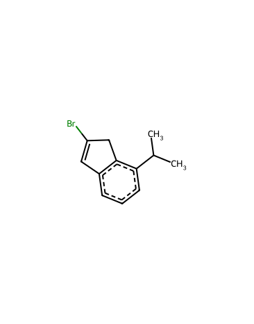 CC(C)c1cccc2c1CC(Br)=C2